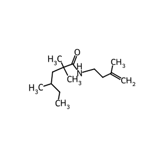 C=C(C)CCNC(=O)C(C)(C)CC(C)CC